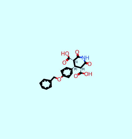 O=C(O)[C@@H]1C(=O)NC(=O)[C@H](C(=O)O)[C@@H]1c1ccc(OCc2ccccc2)cc1